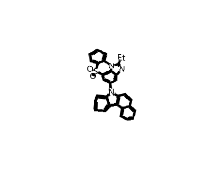 CCc1nc2cc(-n3c4ccccc4c4c5ccccc5ccc43)cc3c2n1-c1ccccc1S3(=O)=O